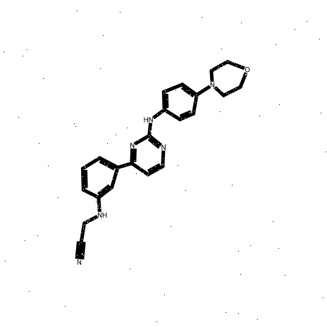 N#CCNc1cccc(-c2ccnc(Nc3ccc(N4CCOCC4)cc3)n2)c1